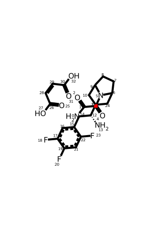 NC(=O)C(=O)N1C2CCC1CC([C@H](N)Cc1cc(F)c(F)cc1F)C2.O=C(O)/C=C\C(=O)O